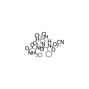 CC(C)(C#N)OC(=O)N[C@H](C(=O)N1C[C@H]2[C@@H]([C@H]1C(=O)NC(CC1CCC1)C(=O)C(N)=O)C2(Cl)Cl)C1CCCCC1